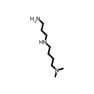 CN(C)CCCCNCCCN